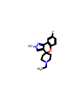 CCN1CCC2(CC1)Oc1ccc(F)cc1-c1n[nH]cc12.Cl